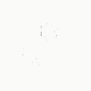 COc1ccc(P)c(OC)c1C(=O)c1c(C)cccc1C.[LiH]